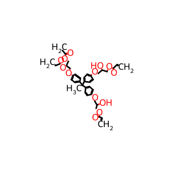 C=CC(=O)OCC(O)COc1ccc(C(C)(c2ccc(OCC(O)COC(=O)C=C)cc2)c2ccc(OCC(COC(=O)C=C)OC(=O)C=C)cc2)cc1